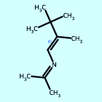 CC(C)=N/C=C(\C)C(C)(C)C